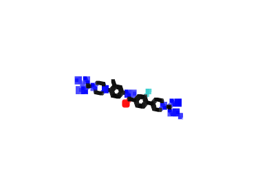 Cc1cc(NC(=O)c2ccc(C3=CCN(C(=N)N)CC3)c(F)c2)ccc1N1CCN(C(=N)N)CC1